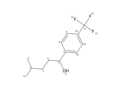 CC(C)CCC(O)c1ccc(C(F)(F)F)cc1